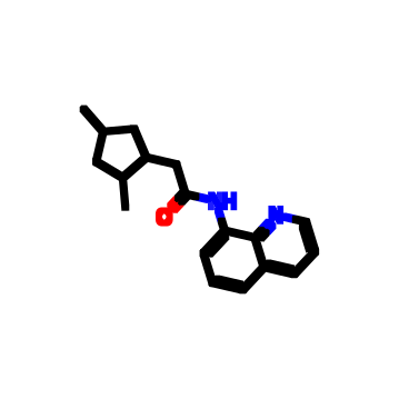 CC1CC(C)C(CC(=O)Nc2cccc3cccnc23)C1